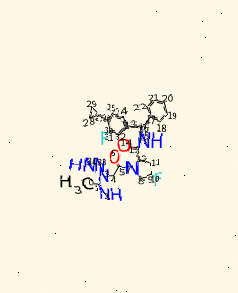 CC(=N)N(CC(=O)N1C[C@H](F)C[C@H]1C(=O)N[C@@H](c1ccccc1)c1ccc(C2CC2)c(F)c1)N=N